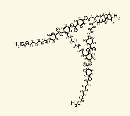 C=COCCCCCCOc1ccc(C(=O)Oc2ccc(OC(=O)c3ccc(OCCCCCCOC=C)cc3)c(CCCCCCCCCc3cc(OC(=O)c4ccc(OCCCCCCOC=C)cc4)ccc3OC(=O)c3ccc(OCCCCCCOC=C)cc3)c2)cc1